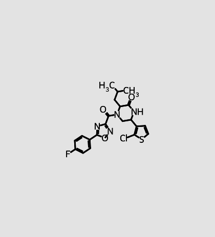 CC(C)CC1C(=O)NC(c2ccsc2Cl)CN1C(=O)c1noc(-c2ccc(F)cc2)n1